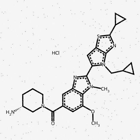 COc1cc(C(=O)N2CCC[C@@H](N)C2)cc2nc(-c3cc4sc(C5CC5)nc4n3CC3CC3)n(C)c12.Cl